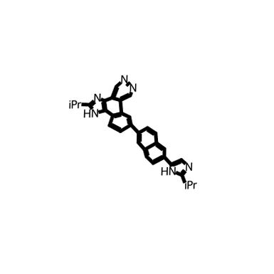 CC(C)c1ncc(-c2ccc3cc(-c4ccc5c(c4)c4cnncc4c4nc(C(C)C)[nH]c54)ccc3c2)[nH]1